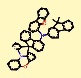 CC1(C)c2ccccc2-c2ccc(N(c3cccc4c3-c3ccccc3C43c4ccccc4N4c5ccccc5Oc5cccc3c54)c3cccc4c3oc3ccccc34)cc21